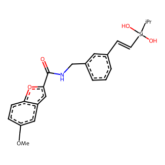 COc1ccc2oc(C(=O)NCc3cccc(/C=C/[Si](O)(O)C(C)C)c3)cc2c1